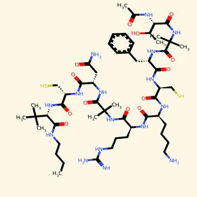 CCCCNC(=O)[C@@H](NC(=O)[C@H](CS)NC(=O)[C@H](CC(N)=O)NC(=O)C(C)(C)NC(=O)[C@H](CCCNC(=N)N)NC(=O)[C@H](CCCCN)NC(=O)[C@H](CS)NC(=O)[C@H](Cc1ccccc1)NC(=O)C(C)(C)NC(=O)[C@@H](NC(C)=O)[C@@H](C)O)C(C)(C)C